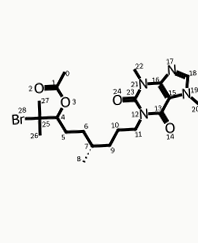 CC(=O)OC(CC[C@@H](C)CCCn1c(=O)c2c(ncn2C)n(C)c1=O)C(C)(C)Br